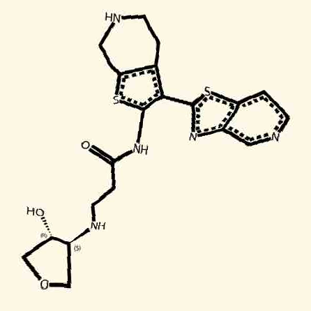 O=C(CCN[C@H]1COC[C@@H]1O)Nc1sc2c(c1-c1nc3cnccc3s1)CCNC2